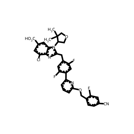 CC1(C)COCC1n1c(Cc2cc(F)c(-c3cccc(OCc4ccc(C#N)cc4F)n3)cc2F)nc2c(Cl)cc(C(=O)O)cc21